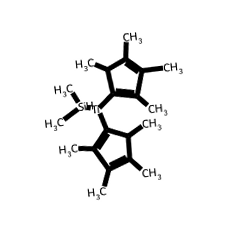 CC1=C(C)C(C)[C]([Ti]([C]2=C(C)C(C)=C(C)C2C)[SiH](C)C)=C1C